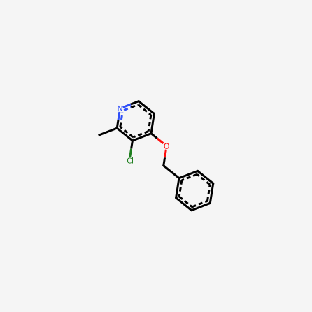 Cc1nccc(OCc2ccccc2)c1Cl